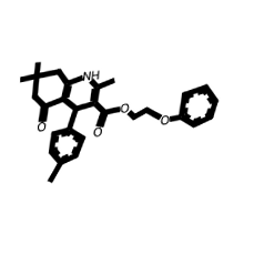 CC1=C(C(=O)OCCOc2ccccc2)C(c2ccc(C)cc2)C2=C(CC(C)(C)CC2=O)N1